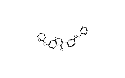 O=c1c(-c2cccc(OCc3ccccc3)c2)coc2cc(OC3CCCCO3)ccc12